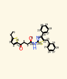 CCc1ccc(C(=O)CCC(=O)Nc2nc(-c3ccccc3)c(Cc3ccccc3)s2)s1